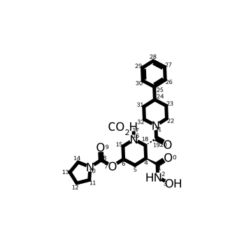 O=C(NO)[C@H]1CC(OC(=O)N2CCCC2)CN(C(=O)O)[C@@H]1C(=O)N1CCC(c2ccccc2)CC1